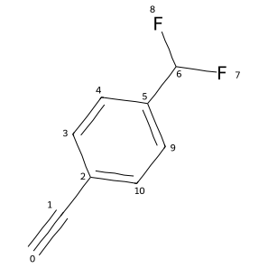 C#Cc1ccc(C(F)F)cc1